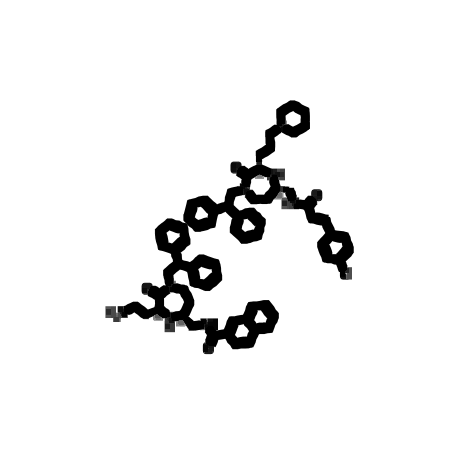 NCC[C@@H]1N[C@H](CNC(=O)c2ccc3ccccc3c2)CCN(CC(c2ccccc2)c2ccccc2)C1=O.O=C(C=Cc1ccc(Cl)cc1)NC[C@@H]1CCN(CC(c2ccccc2)c2ccccc2)C(=O)[C@H](CCCN2CCCCC2)N1